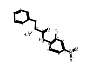 N[C@H](Cc1ccccc1)C(=O)Nc1ccc([N+](=O)[O-])cc1Cl